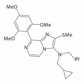 COc1cc(OC)c(-c2nccn3c(N(CC(C)C)CC4CC4)c(SC)nc23)c(OC)c1